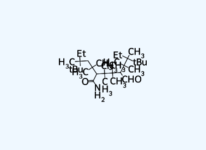 CCC(C)(CC(C)(C)C(C(N)=O)C(C)(C)C(C)(C)C(C=O)C(C)(C)C(C)(CC)C(C)(C)C)C(C)(C)C